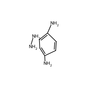 NN.Nc1ccc(N)cc1